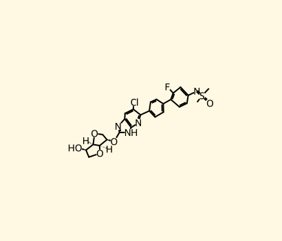 CS(C)(=O)=Nc1ccc(-c2ccc(-c3nc4[nH]c(O[C@@H]5CO[C@H]6[C@@H]5OC[C@H]6O)nc4cc3Cl)cc2)c(F)c1